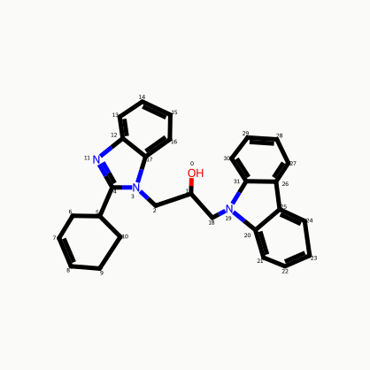 OC(Cn1c(C2CC=CCC2)nc2ccccc21)Cn1c2ccccc2c2ccccc21